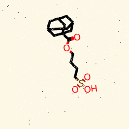 O=C(OCCCCS(=O)(=O)O)C12CC3CC(CC(C3)C1)C2